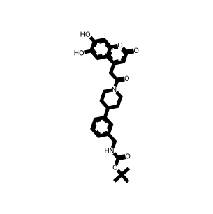 CC(C)(C)OC(=O)NCc1cccc(C2CCN(C(=O)Cc3cc(=O)oc4cc(O)c(O)cc34)CC2)c1